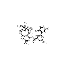 COC[C@H](NC(=O)c1cc(Cl)ccc1Cl)C(=O)N[C@@H](CC(C)C)B1OCC[C@@H]2C[C@H](C(C)(C)O1)C2(C)C